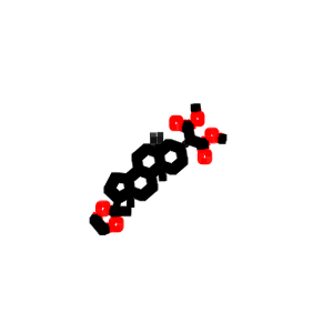 COC(=O)C(C(=O)OC)[C@@H]1CC[C@]2(C)C3CC[C@@]4(C)C(CC[C@@H]4C4(C)OCCO4)C3CC[C@@H]2C1